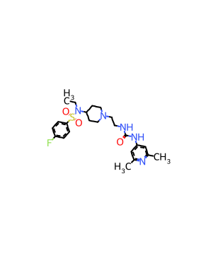 CCN(C1CCN(CCNC(=O)Nc2cc(C)nc(C)c2)CC1)S(=O)(=O)c1ccc(F)cc1